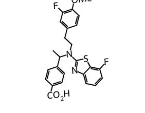 COc1ccc(CCN(c2nc3cccc(F)c3s2)C(C)c2ccc(C(=O)O)cc2)cc1F